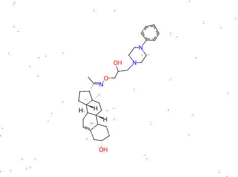 CC(=NOCC(O)CN1CCN(c2ccccc2)CC1)[C@H]1CC[C@H]2[C@@H]3CC=C4C[C@@H](O)CC[C@]4(C)[C@H]3CC[C@]12C